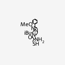 CCC(C)[C@H]1c2nc(-c3ccccc3OC)cn2CCN1C(=O)[C@@H](N)CS